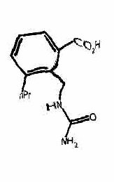 CCCc1cccc(C(=O)O)c1CNC(N)=O